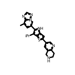 Cc1cc(-c2[nH]c3cc(-c4cnc5c(c4)CNCC5)sc3c2C(C)C)cn2ncnc12